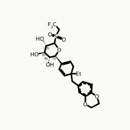 CCC1(Cc2ccc3c(c2)OCCO3)C=CC([C@@H]2OC(S(=O)(=O)CC(F)(F)F)[C@@H](O)[C@H](O)[C@H]2O)=CC1